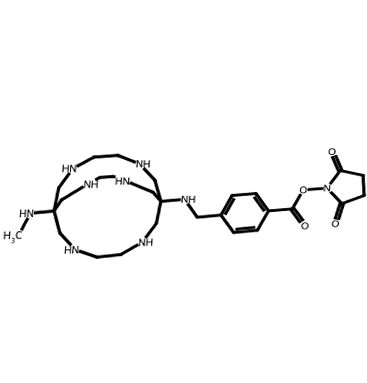 CNC12CNCCNCC(NCc3ccc(C(=O)ON4C(=O)CCC4=O)cc3)(CNCCNC1)CNCCNC2